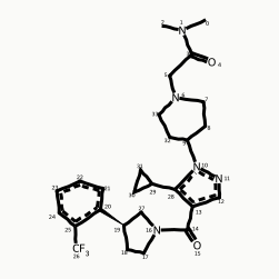 CN(C)C(=O)CN1CCC(n2ncc(C(=O)N3CC[C@@H](c4ccccc4C(F)(F)F)C3)c2C2CC2)CC1